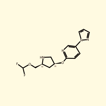 FC(F)OC[C@@H]1C[C@H](Oc2ccc(-n3cccn3)cn2)CN1